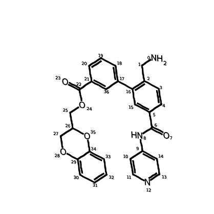 NCc1ccc(C(=O)Nc2ccncc2)cc1-c1cccc(C(=O)OCC2COc3ccccc3O2)c1